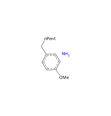 CCCCCCc1ccc(OC)cc1.N